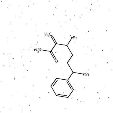 C=C(C(N)=O)C(CCC)CCC(CCC)c1ccccc1